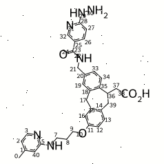 Cc1ccnc(NCCCOc2ccc3c(c2)Cc2cc(CNC(=O)c4ccc(NN)nc4)ccc2C(CC(=O)O)C3)c1